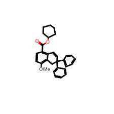 COc1ccc(C(=O)OC2CCCCC2)c2c1CC(c1ccccc1)(c1ccccc1)C=C2